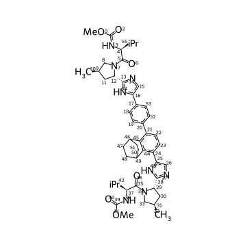 COC(=O)N[C@H](C(=O)N1C[C@H](C)C[C@H]1c1ncc(-c2ccc(-c3ccc(-c4cnc([C@@H]5C[C@@H](C)CN5C(=O)[C@@H](NC(=O)OC)C(C)C)[nH]4)c4c3C3CCC4CC3)cc2)[nH]1)C(C)C